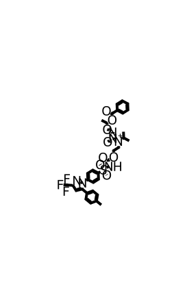 Cc1ccc(-c2cc(C(F)(F)F)nn2-c2ccc(S(=O)(=O)NC(=O)OCCN(C(C)C)[N+]([O-])=NOC(C)OC(=O)c3ccccc3)cc2)cc1